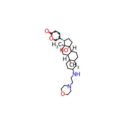 C[C@]12CCC(NCCN3CCOCC3)CC1CC[C@@H]1[C@@H]2CC[C@]2(C)[C@@H](c3ccc(=O)oc3)CC[C@]12O